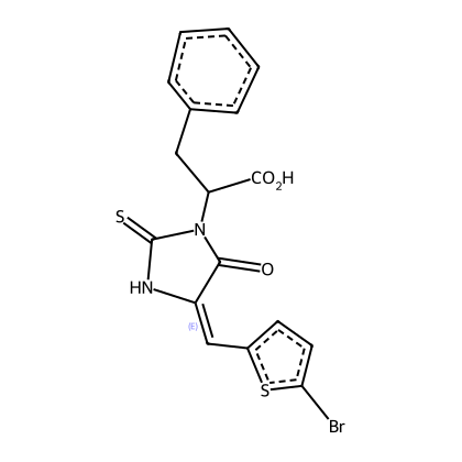 O=C(O)C(Cc1ccccc1)N1C(=O)/C(=C\c2ccc(Br)s2)NC1=S